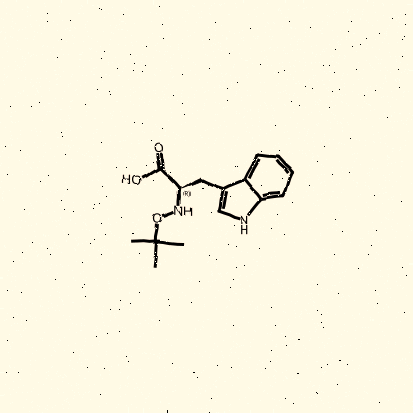 CC(C)(C)ON[C@H](Cc1c[nH]c2ccccc12)C(=O)O